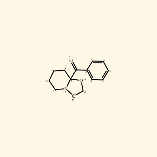 O=C(c1ccccc1)C12CCCCN1OCO2